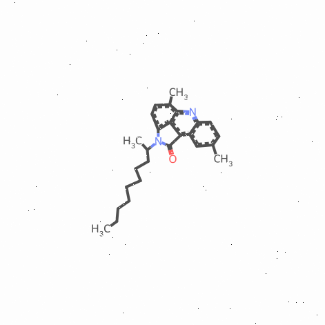 CCCCCCCCC(C)N1C(=O)c2c3cc(C)ccc3nc3c(C)ccc1c23